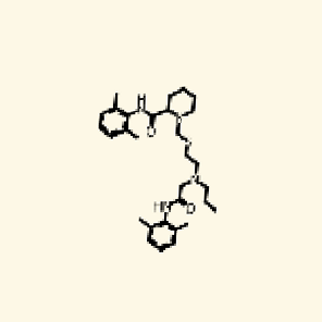 CCCN(CCSCN1CCCCC1C(=O)Nc1c(C)cccc1C)CC(=O)Nc1c(C)cccc1C